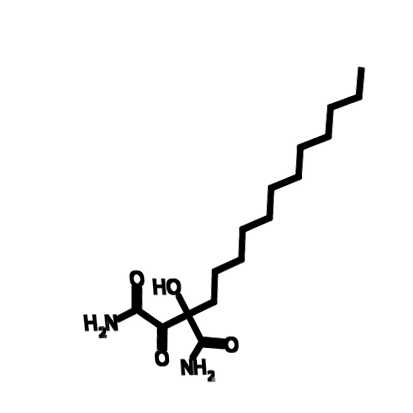 CCCCCCCCCCCCC(O)(C(N)=O)C(=O)C(N)=O